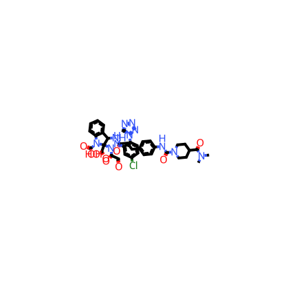 CN(C)C(=O)C1CCN(C(=O)Nc2ccc(CCC(=O)NC3c4ccccc4N(C(=O)O)C3(C(=O)O)N(Nc3cc(Cl)ccc3-n3cnnn3)C(=O)C=O)cc2)CC1